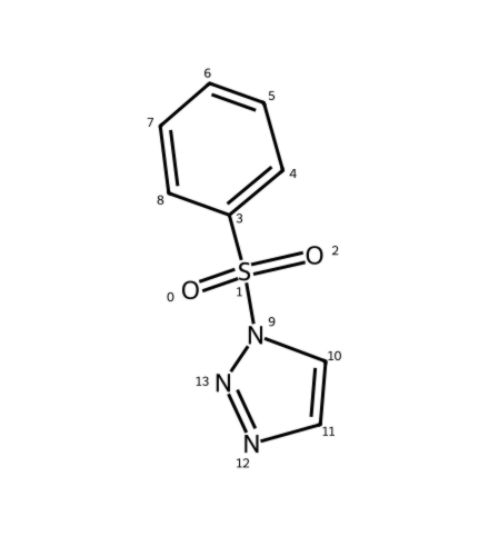 O=S(=O)(c1ccccc1)n1ccnn1